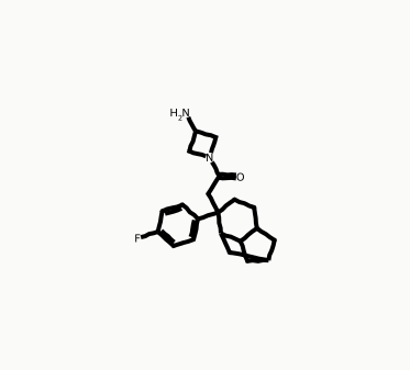 NC1CN(C(=O)CC2(c3ccc(F)cc3)CCC3CC4CC3C2C4)C1